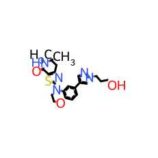 CC1(C)Cc2nc(N3CCOc4ccc(-c5cnn(CCCO)c5)cc43)sc2C(=O)N1